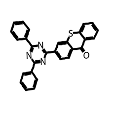 O=c1c2ccccc2sc2cc(-c3nc(-c4ccccc4)nc(-c4ccccc4)n3)ccc12